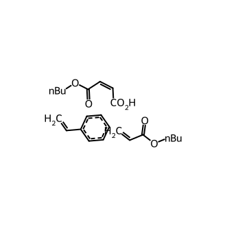 C=CC(=O)OCCCC.C=Cc1ccccc1.CCCCOC(=O)/C=C\C(=O)O